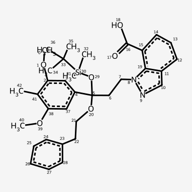 COc1cc(C(CCn2ncc3cccc(C(=O)O)c32)(OCCc2ccccc2)O[Si](C)(C)C(C)(C)C)cc(OC)c1C